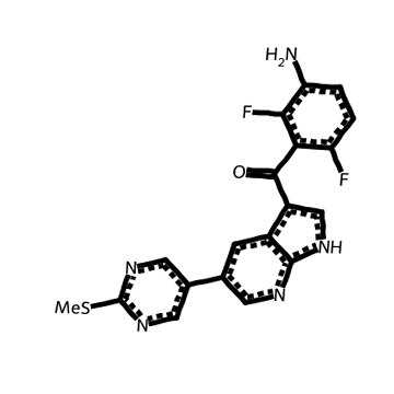 CSc1ncc(-c2cnc3[nH]cc(C(=O)c4c(F)ccc(N)c4F)c3c2)cn1